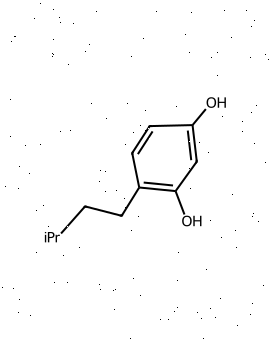 CC(C)CCc1ccc(O)cc1O